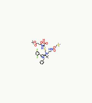 CC(C)(C)OC(=O)CCC(=O)N[C@@H](CSCCN(CCCNC(=O)OCCS(C)(C)C)[C@@H](c1cc(-c2cc(F)ccc2F)cn1Cc1ccccc1)C(C)(C)C)C(=O)O